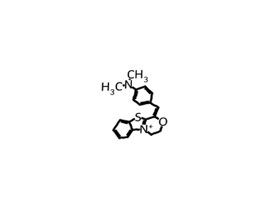 CN(C)c1ccc(/C=C2/OCC[n+]3c2sc2ccccc23)cc1